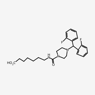 O=C(O)CCCCCCNC(=O)N1CCN(C(c2ccccc2F)c2ccccc2F)CC1